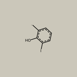 [CH2]c1cccc(I)c1O